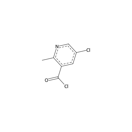 Cc1ncc(Cl)cc1C(=O)Cl